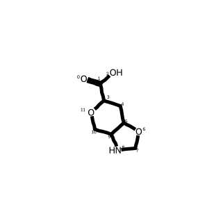 O=C(O)C1CC2OCNC2CO1